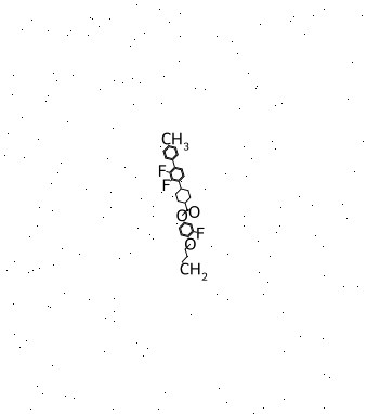 C=CCCOc1ccc(OC(=O)C2CCC(c3ccc(-c4ccc(C)cc4)c(F)c3F)CC2)cc1F